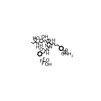 CCC(=O)N[C@H]1C[C@@H](n2cnc3c(NCCc4ccc(S(N)(=O)=O)cc4)nc(N[C@H](CO)Cc4ccccc4)nc32)[C@H](O)[C@@H]1O.O=C(O)C(F)(F)F